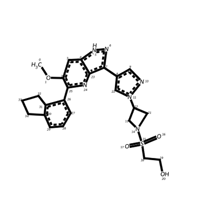 COc1cc2[nH]nc(-c3cnn(C4CN(S(=O)(=O)CCO)C4)c3)c2nc1-c1cccc2c1CCC2